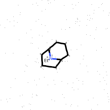 CCN1C2CCCC1CCC2